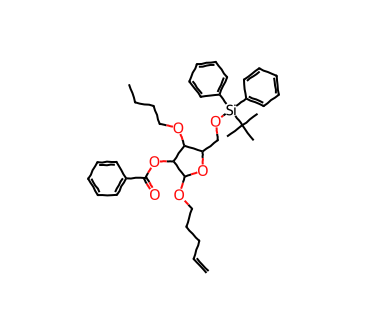 C=CCCCOC1OC(CO[Si](c2ccccc2)(c2ccccc2)C(C)(C)C)C(OCCCC)C1OC(=O)c1ccccc1